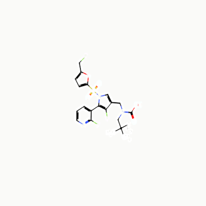 CC(C)(C)CN(Cc1cn(S(=O)(=O)c2ccc(CF)o2)c(-c2cccnc2F)c1F)C(=O)O